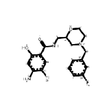 Nc1cc(O)c(C(=O)NCC2CN(Cc3cccc(F)c3)CCO2)cc1Cl